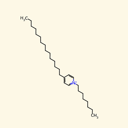 CCCCCCCCCCCCCCCc1cc[n+](CCCCCCCC)cc1